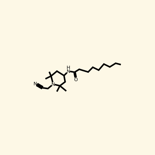 CCCCCCCCC(=O)NC1CC(C)(C)N(CC#N)C(C)(C)C1